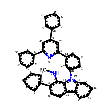 CNc1c(-c2ccccc2)ccc2c3ccccc3n(-c3cccc(-c4cc(-c5ccccc5)cc(-c5ccccc5)n4)c3)c12